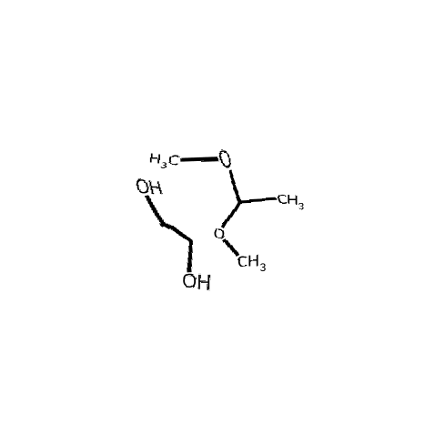 COC(C)OC.OCCO